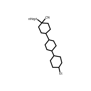 CCCCCCCC1(C#N)CCC(C2CCC(C3CCC(CC)CC3)CC2)CC1